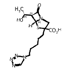 C[C@@H](O)[C@H]1C(=O)N2CC(CCCCCn3cnnn3)(C(=O)O)S[C@H]12